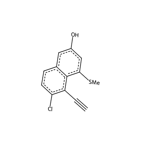 C#Cc1c(Cl)ccc2cc(O)cc(SC)c12